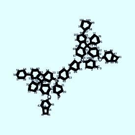 Fc1ccc(N(c2ccc(-c3ccc(N(c4ccc(F)cc4)c4ccc5c(c4)C(c4ccccc4)(c4ccc(Oc6ccc7c(c6)CC7)cc4)c4cc(-c6ccccc6)ccc4-5)cc3)cc2)c2ccc3c(c2)C(c2ccccc2)(c2ccc(Oc4ccc5c(c4)CC5)cc2)c2cc(-c4ccccc4)ccc2-3)cc1